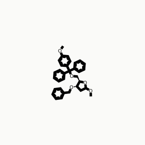 COc1ccc(C(OC[C@H]2OC(OC)C[C@@H]2OCc2ccccc2)(c2ccccc2)c2ccccc2)cc1